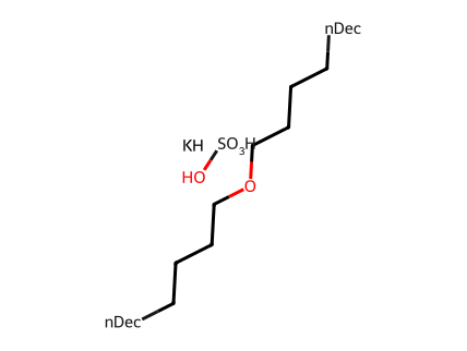 CCCCCCCCCCCCCCOCCCCCCCCCCCCCC.O=S(=O)(O)O.[KH]